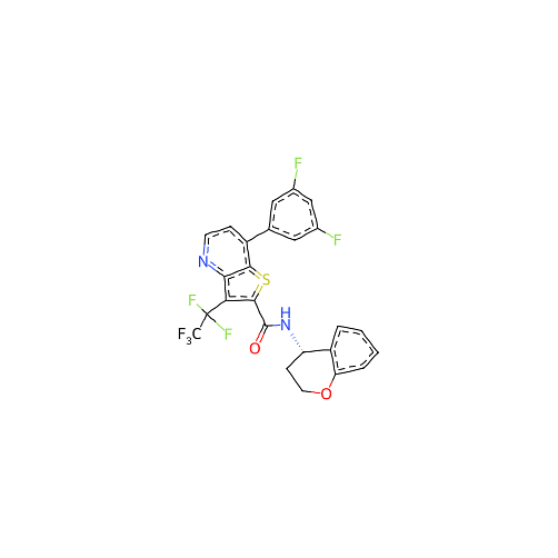 O=C(N[C@H]1CCOc2ccccc21)c1sc2c(-c3cc(F)cc(F)c3)ccnc2c1C(F)(F)C(F)(F)F